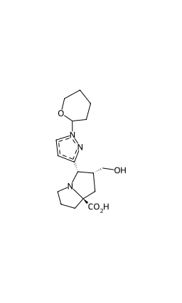 O=C(O)[C@@]12CCCN1[C@H](c1ccn(C3CCCCO3)n1)[C@H](CO)C2